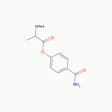 CCCCCCC(C)C(=O)Oc1ccc(C(N)=O)cc1